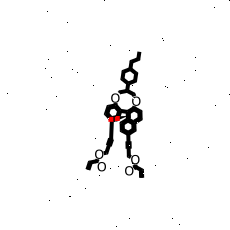 C=CC(=O)OCC#Cc1ccc2c3c(ccc2c1)OCC(C1CCC(CCC)CC1)COc1ccc2cc(C#CCOC(=O)C=C)ccc2c1-3